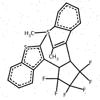 CC1=C2c3ccccc3S1(C)c1sc3ccccc3c1C1C2C(F)(F)C(F)(F)C1(F)F